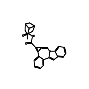 CN1CC2CC(C1)N2C(=O)NC(=O)C1=C2C1=Cn1c(cc3ccccc31)-c1ccccc12